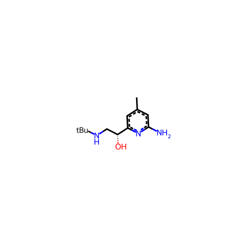 Cc1cc(N)nc([C@H](O)CNC(C)(C)C)c1